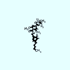 CCCCCc1ccc(COC(=O)N2C(C)CN(C(=O)OC(C)(C)C)CC2C)c(F)c1